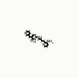 Nc1cccnc1CCCCNc1ncc(Cc2cccnc2)c(=O)[nH]1